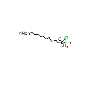 CCCCCCCCCCCCCCCCCCCC(C)(C)[SiH2]Cl